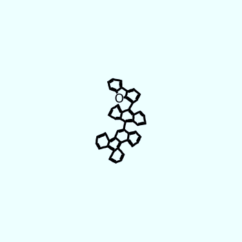 c1ccc2c(c1)oc1c(-c3c4ccccc4c(-c4cc5c6ccccc6c6ccccc6c5c5ccccc45)c4ccccc34)cccc12